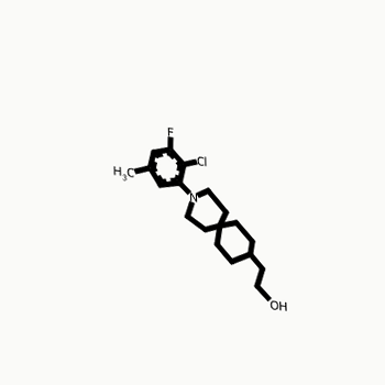 Cc1cc(F)c(Cl)c(N2CCC3(CCC(CCO)CC3)CC2)c1